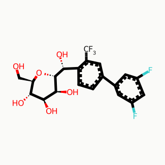 OC[C@H]1O[C@H]([C@H](O)c2ccc(-c3cc(F)cc(F)c3)cc2C(F)(F)F)[C@@H](O)[C@@H](O)[C@@H]1O